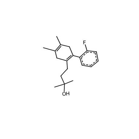 CC1=C(C)CC(c2ccccc2F)=C(CCC(C)(C)O)C1